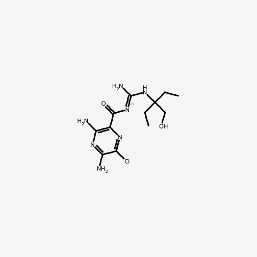 CCC(CC)(CO)N/C(N)=N/C(=O)c1nc(Cl)c(N)nc1N